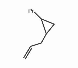 C=CCC1CC1C(C)C